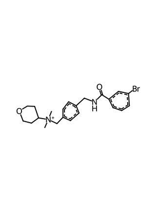 C[N+](C)(Cc1ccc(CNC(=O)c2cccc(Br)c2)cc1)C1CCOCC1